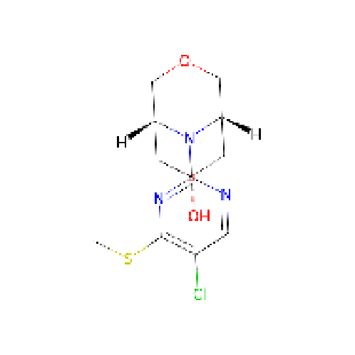 CSc1nc(N2[C@@H]3COC[C@H]2C[C@@H](O)C3)ncc1Cl